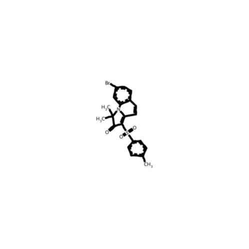 Cc1ccc(S(=O)(=O)C2=C3C=Cc4ccc(Br)cc4N3C(C)(C)C2=O)cc1